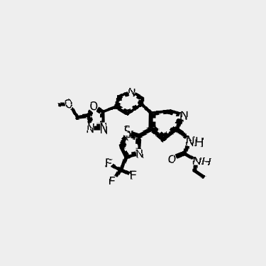 CCNC(=O)Nc1cc(-c2nc(C(F)(F)F)cs2)c(-c2cncc(-c3nnc(COC)o3)c2)cn1